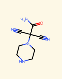 N#CC(C#N)(C(N)=O)N1CCNCC1